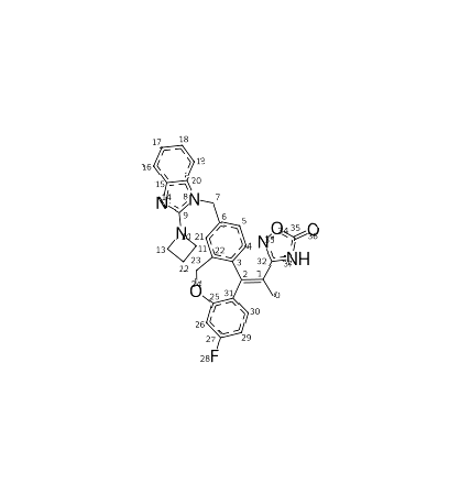 C/C(=C1/c2ccc(Cn3c(N4CCC4)nc4ccccc43)cc2COc2cc(F)ccc21)c1noc(=O)[nH]1